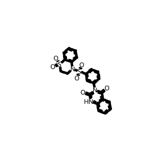 O=c1[nH]c2ccccc2c(=O)n1-c1cccc(S(=O)(=O)N2CCS(=O)(=O)c3ccccc32)c1